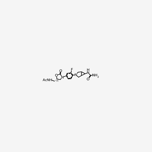 CC(=O)NC[C@H]1CN(c2ccc(N3CC4C(C3)C4NC(N)=O)c(F)c2)C(=O)O1